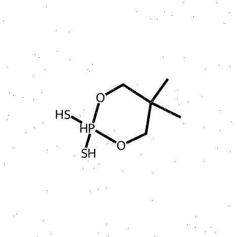 CC1(C)CO[PH](S)(S)OC1